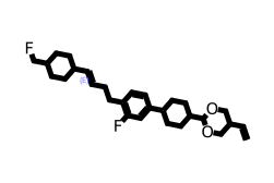 C=CC1COC(C2CCC(c3ccc(CC/C=C/C4CCC(CF)CC4)c(F)c3)CC2)OC1